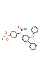 CCS(=O)(=O)c1ccc(C(C(N)=O)c2ccc(-c3ccncc3)c(Oc3ccccc3)c2)cc1